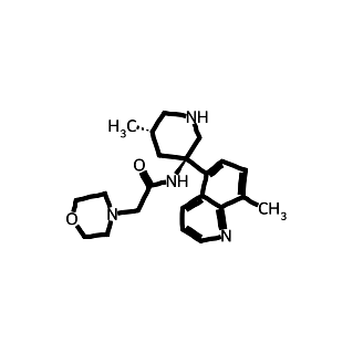 Cc1ccc([C@@]2(NC(=O)CN3CCOCC3)CNC[C@@H](C)C2)c2cccnc12